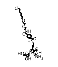 Nc1nc2c(c(C#CCNC(=O)c3ccc(C(=O)NCCOCCOCCCCCCCl)cc3)cn2[C@H]2CC(O)C(CO)O2)c(=O)[nH]1